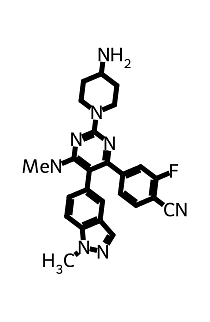 CNc1nc(N2CCC(N)CC2)nc(-c2ccc(C#N)c(F)c2)c1-c1ccc2c(cnn2C)c1